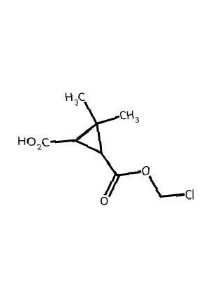 CC1(C)C(C(=O)O)C1C(=O)OCCl